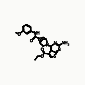 CCOC(=O)c1csc2nc(N)nc(N3CC4CC3CN4C(=O)Nc3cccc(OC)c3)c12